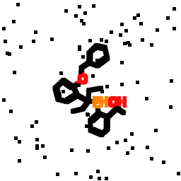 CCC(CC)(Pc1ccccc1C(C)O)c1ccccc1OCc1ccccc1